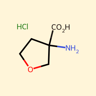 Cl.NC1(C(=O)O)CCOC1